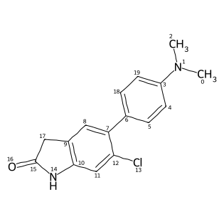 CN(C)c1ccc(-c2cc3c(cc2Cl)NC(=O)C3)cc1